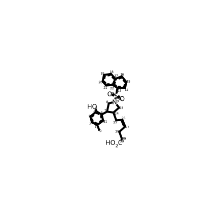 Cc1ccc(O)c(C2CN(S(=O)(=O)c3cccc4ccccc34)CC2C/C=C\CCC(=O)O)c1